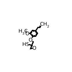 C=CCc1ccc(OCC2(S)CO2)c(OC)c1